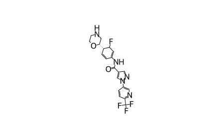 O=C(NC1=CC(F)C([C@H]2CNCCO2)C=C1)c1cnn(-c2ccc(C(F)(F)F)nc2)c1